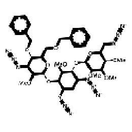 COC1C(N=[N+]=[N-])[C@H](OCc2ccccc2)C(COCc2ccccc2)O[C@@H]1OC1C(N=[N+]=[N-])CC(N=[N+]=[N-])[C@@H](O[C@H]2OC(CN=[N+]=[N-])[C@@H](OC)C(OC)C2OC)C1OC